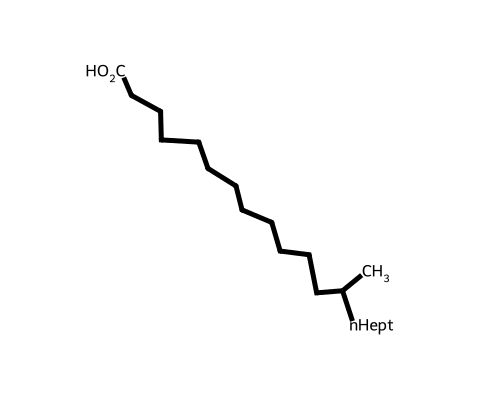 CCCCCCCC(C)CCCCCCCCCCCC(=O)O